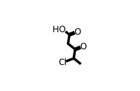 CC(Cl)C(=O)CC(=O)O